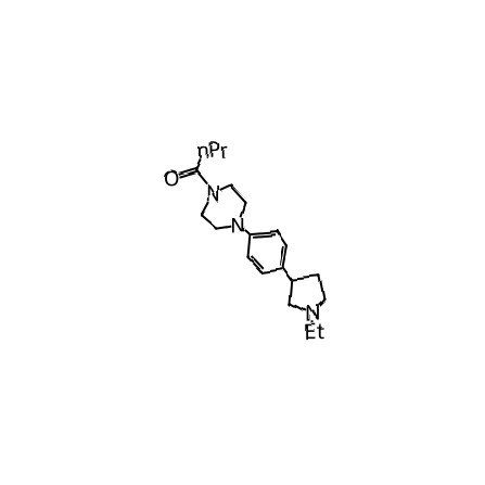 CCCC(=O)N1CCN(c2ccc(C3CCN(CC)C3)cc2)CC1